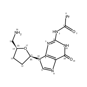 CC(C)C(=O)Nc1nc2c(ncn2[C@H]2CC[C@@H](CN)O2)c(=O)[nH]1